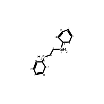 C1=CCC([SiH2]CC[SiH2]C2C=CC=CC2)C=C1